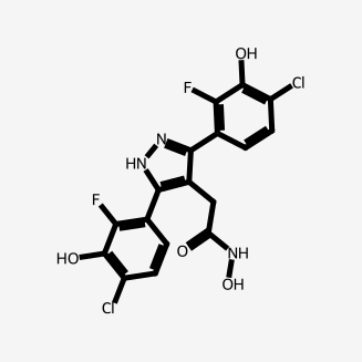 O=C(Cc1c(-c2ccc(Cl)c(O)c2F)n[nH]c1-c1ccc(Cl)c(O)c1F)NO